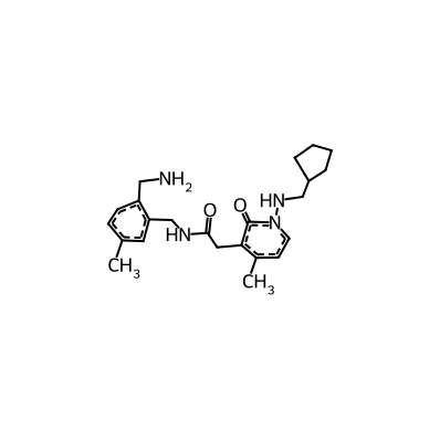 Cc1ccc(CN)c(CNC(=O)Cc2c(C)ccn(NCC3CCCC3)c2=O)c1